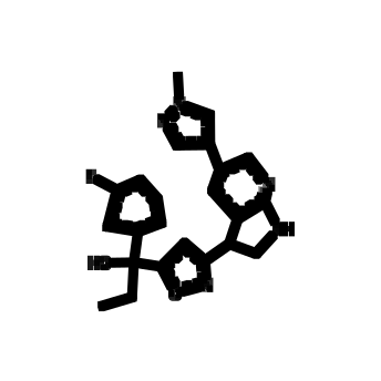 CCC(O)(c1cccc(F)c1)c1cc(C2CNc3ncc(-c4cnn(C)c4)cc32)no1